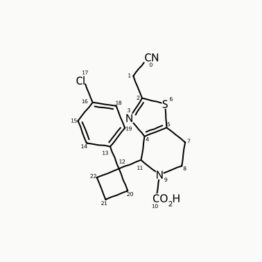 N#CCc1nc2c(s1)CCN(C(=O)O)C2C1(c2ccc(Cl)cc2)CCC1